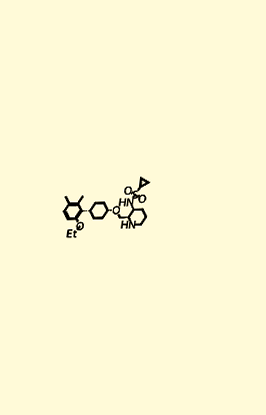 CCOc1ccc(C)c(C)c1[C@H]1CC[C@@H](OC[C@@H]2NCCC[C@@H]2NS(=O)(=O)C2CC2)CC1